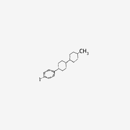 CC1CCC(C2CCC(c3ccc(I)cc3)CC2)CC1